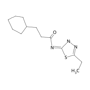 CCC1=N[N]C(=NC(=O)CCC2CCCCC2)S1